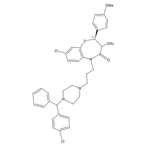 COc1ccc([C@@H]2Sc3cc(Cl)ccc3N(CCCN3CCN(C(c4ccccc4)c4ccc(Cl)cc4)CC3)C(=O)C2OC(C)=O)cc1